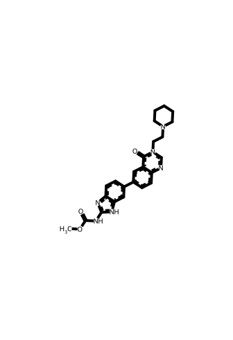 COC(=O)Nc1nc2ccc(-c3ccc4ncn(CCN5CCCCC5)c(=O)c4c3)cc2[nH]1